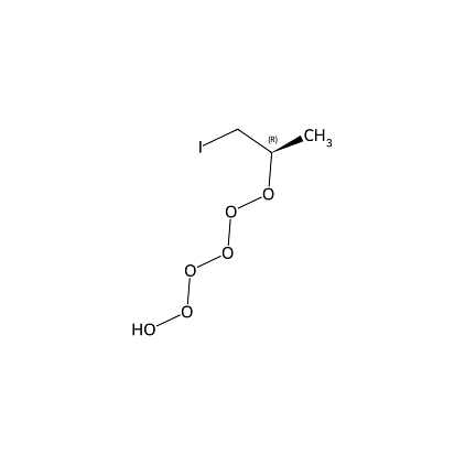 C[C@H](CI)OOOOOO